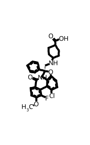 COc1ccc(C(N)=O)c(-c2c(Cl)ccc3c2C[C@@](CNC2CCC(C(=O)O)CC2)(c2ccccc2)O3)c1F